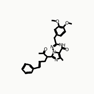 COc1ccc(Cc2nn3c(C(CC=Cc4ccccc4)C(C)=O)nc(C)c3c(=O)[nH]2)cc1OC